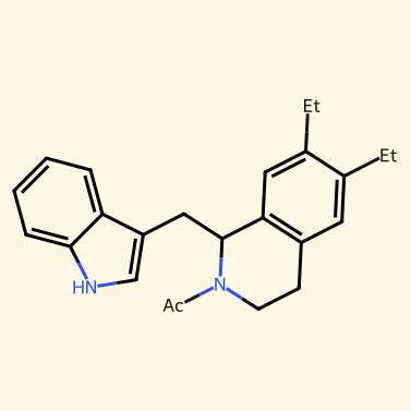 CCc1cc2c(cc1CC)C(Cc1c[nH]c3ccccc13)N(C(C)=O)CC2